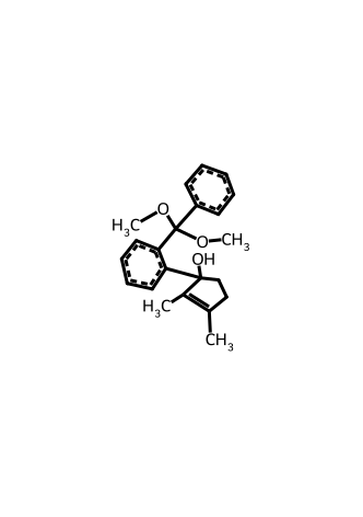 COC(OC)(c1ccccc1)c1ccccc1C1(O)CCC(C)=C1C